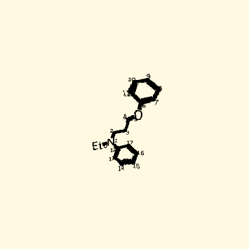 CCN(CCCOc1ccccc1)c1ccccc1